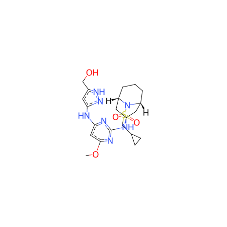 COc1cc(Nc2cc(CO)[nH]n2)nc(N[C@@H]2C[C@H]3CCC[C@@H](C2)N3S(=O)(=O)CC2CC2)n1